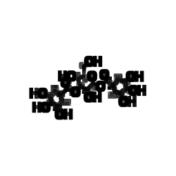 O=C(O[C@@H]1O[C@H](CO)[C@@H](O)[C@H](OC(=O)c2cc(O)c(O)c(O)c2)[C@H]1O)c1cc(O)c(O)c(O)c1